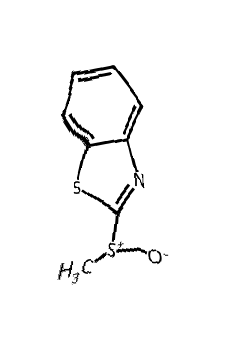 C[S+]([O-])c1nc2ccccc2s1